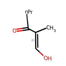 CCCC(=O)/C(C)=C/O